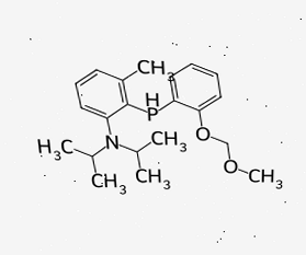 COCOc1ccccc1Pc1c(C)cccc1N(C(C)C)C(C)C